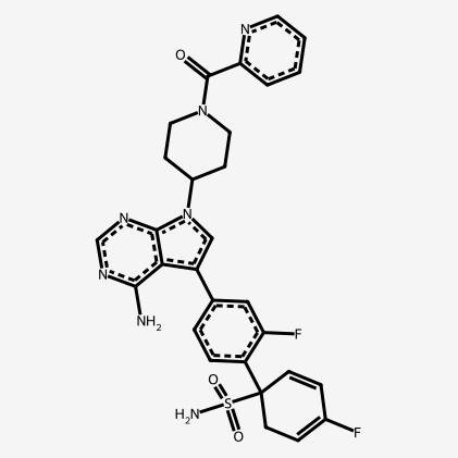 Nc1ncnc2c1c(-c1ccc(C3(S(N)(=O)=O)C=CC(F)=CC3)c(F)c1)cn2C1CCN(C(=O)c2ccccn2)CC1